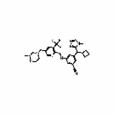 CN1CN(Cc2cnc(CNc3cc(C#N)cc(C(c4nncn4C)C4CCC4)c3)c(C(F)(F)F)c2)CCO1